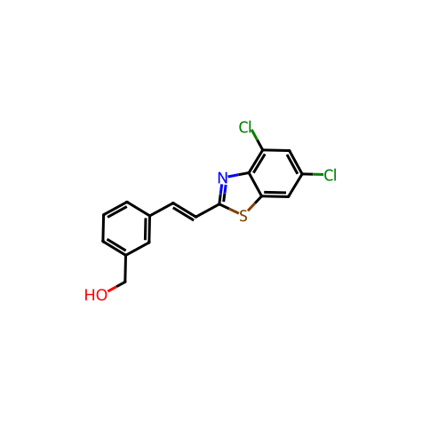 OCc1cccc(C=Cc2nc3c(Cl)cc(Cl)cc3s2)c1